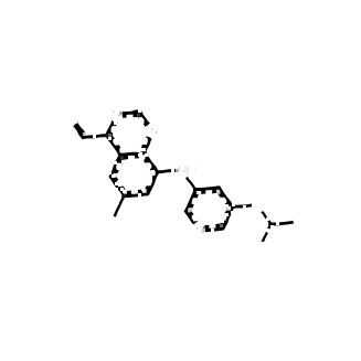 Cc1cc(Nc2cncc(SC(C)Cl)c2)c2ncnc(C=O)c2c1